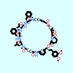 COc1ccc(CC[C@H]2OC(=O)[C@@H]3CCCCN3C(=O)C(=O)C(C)(C)COC(=O)/C=C\CCN(C)C(=O)[C@H](Cc3ccccc3)NC(=O)[C@H](C(C)C)N(C)C(=O)[C@@H](Cc3ccccc3)NC(=O)[C@H](CC(C)C)N(C)C(=O)CCC(=O)Nc3cccc2c3)cc1OC